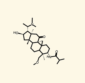 COC[C@@]1(C)C2CCC3[C@]4(C)C[C@@H](O)[C@H](C(C)N(C)C)[C@@]4(C)CC(=O)[C@]34CC24CC[C@@H]1NC(=O)C(C)C